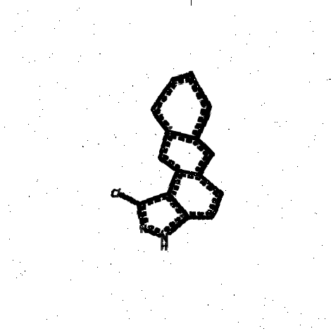 Clc1n[nH]c2ccc3cc4ccccc4cc3c12